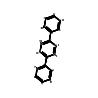 c1cnc(-c2nnc(-c3cnccn3)nn2)cn1